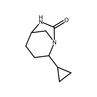 O=C1NC2CCC(C3CC3)N1C2